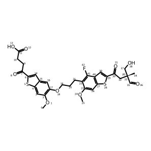 COc1cc2sc(C(=O)CCC(=O)O)cc2cc1OCCCc1c(OC)cc2sc(C(=O)C[C@@](C)(C=O)CO)cc2c1F